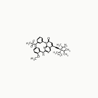 COc1ccccc1Nc1ncc2c(C#C[Si](C(C)C)(C(C)C)C(C)C)cc(=O)n(-c3cccc(NS(C)(=O)=O)c3)c2n1